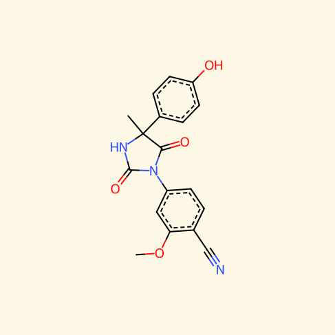 COc1cc(N2C(=O)NC(C)(c3ccc(O)cc3)C2=O)ccc1C#N